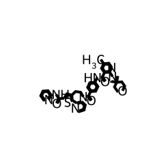 Cc1cnc(N2CC3(CCOCC3)C2)c(C(=O)Nc2ccc(C(=O)N3CCc4cc(C(=O)Nc5ccccn5)sc4-c4ncccc43)cc2)c1